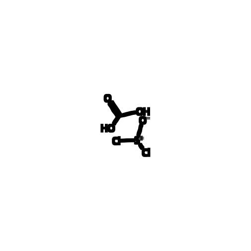 O=C(O)O.[O-][S+](Cl)Cl